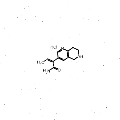 CC=C(C(N)=O)c1cnc2c(c1)CNCC2.Cl